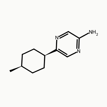 C[C@H]1CC[C@@H](c2cnc(N)cn2)CC1